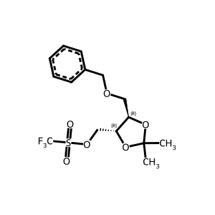 CC1(C)O[C@H](COCc2ccccc2)[C@@H](COS(=O)(=O)C(F)(F)F)O1